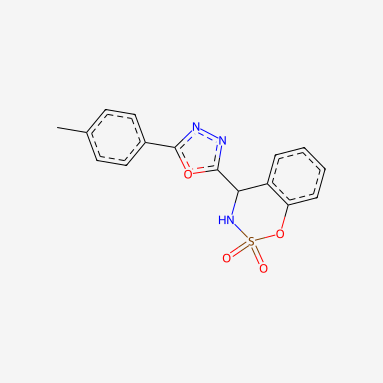 Cc1ccc(-c2nnc(C3NS(=O)(=O)Oc4ccccc43)o2)cc1